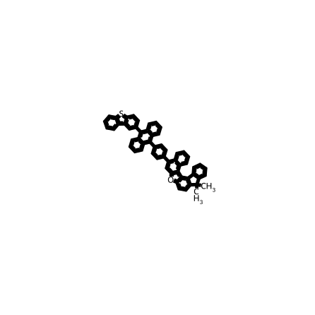 CC1(C)c2ccccc2-c2c1ccc1oc3cc(-c4ccc(-c5c6ccccc6c(-c6ccc7sc8ccccc8c7c6)c6ccccc56)cc4)c4ccccc4c3c21